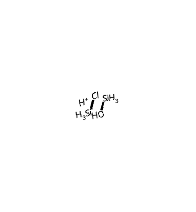 O[SiH3].[H+].[SiH3]Cl